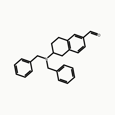 O=Cc1ccc2c(c1)CCC(N(Cc1ccccc1)Cc1ccccc1)C2